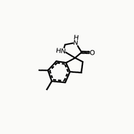 Cc1cc2c(cc1C)C1(CC2)NCNC1=O